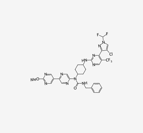 COc1ncc(-c2cnc(N(C(=O)NCc3ccccc3)C3CCC(Nc4ncc(C(F)(F)F)c(-c5nn(C(F)F)cc5Cl)n4)CC3)cn2)cn1